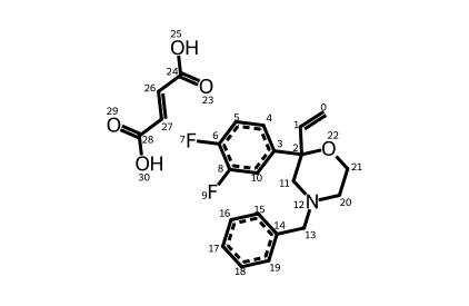 C=CC1(c2ccc(F)c(F)c2)CN(Cc2ccccc2)CCO1.O=C(O)C=CC(=O)O